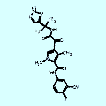 Cc1c(C(=O)C(=O)NC(C)(c2cn[nH]n2)C(F)(F)F)cn(C)c1C(=O)Nc1ccc(F)c(C#N)c1